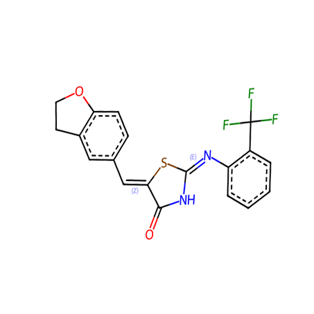 O=C1N/C(=N\c2ccccc2C(F)(F)F)S/C1=C\c1ccc2c(c1)CCO2